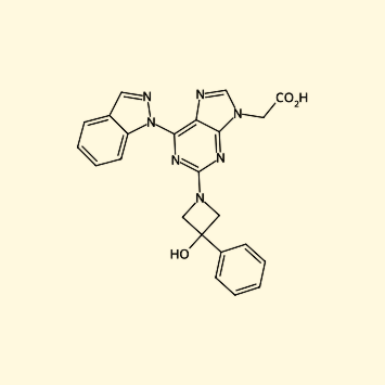 O=C(O)Cn1cnc2c(-n3ncc4ccccc43)nc(N3CC(O)(c4ccccc4)C3)nc21